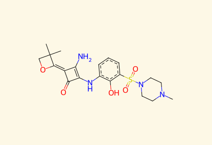 CN1CCN(S(=O)(=O)c2cccc(NC3=C(N)/C(=C4/OCC4(C)C)C3=O)c2O)CC1